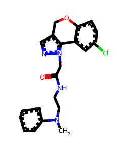 CN(CCNC(=O)Cn1ncc2c1-c1cc(Cl)ccc1OC2)c1ccccc1